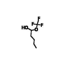 CCCCC(O)OC(F)(F)F